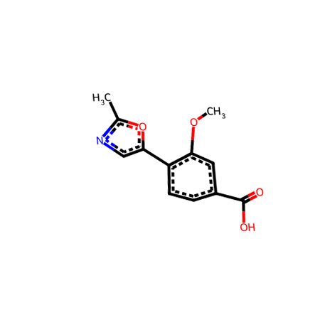 COc1cc(C(=O)O)ccc1-c1cnc(C)o1